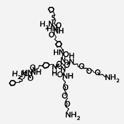 NCCCOCCOCCOCCCNC(=O)CN(CCN(CC(=O)NCCCOCCOCCOCCCN)CC(=O)NCc1ccc(CCC(=O)NNC(=O)[C@H](N)CSCc2ccccc2)cc1)CC(=O)NCc1ccc(CCC(=O)NNC(=O)[C@H](N)CSCc2ccccc2)cc1